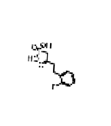 O=C(CCc1ccccc1F)CP(=O)(O)O